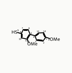 COc1ccc(-c2ccc(S)cc2OC)cc1